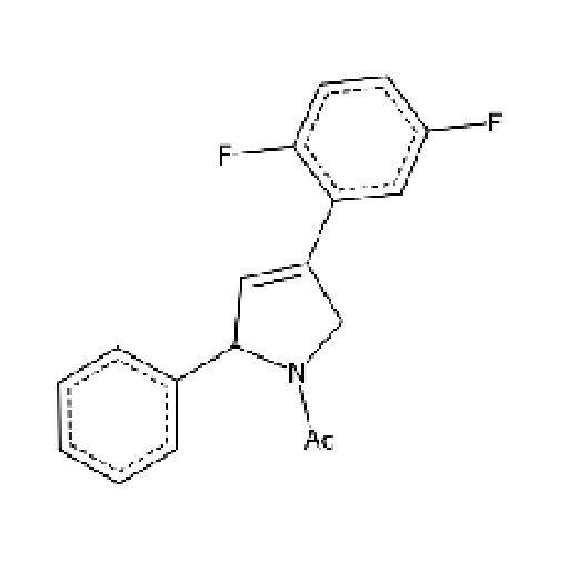 [CH2]C(=O)N1CC(c2cc(F)ccc2F)=CC1c1ccccc1